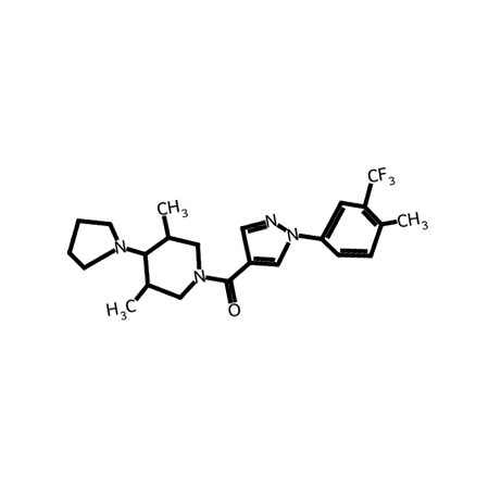 Cc1ccc(-n2cc(C(=O)N3CC(C)C(N4CCCC4)C(C)C3)cn2)cc1C(F)(F)F